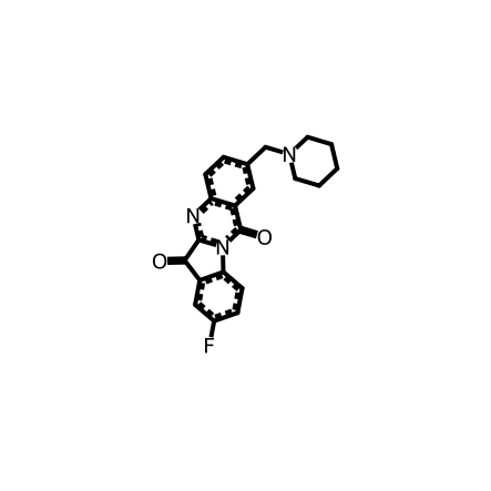 O=C1c2cc(F)ccc2-n2c1nc1ccc(CN3CCCCC3)cc1c2=O